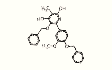 COc1cc(-c2nc(O)c(C)c(O)c2OCc2ccccc2)ccc1OCc1ccccc1